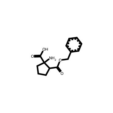 NC1(C(=O)O)CCCC1C(=O)OCc1ccccc1